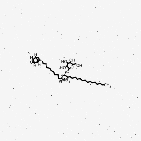 CCCCCCCCCCCCCCC[C@@H](O)[C@H](COC1OC(CO)C(O)C(O)C1O)N=S(C)(=O)CCCCCCCCCC[C@H]1C[C@@H]2C[C@H]1[C@H]1O[C@@H]21